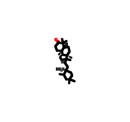 CC(=O)C[C@@H]1[C@@]2(C)CCC(=O)C(C)(C)[C@@H]2CC[C@@]1(C)C(C)(C)CC[C@@]1(C(=O)O)CCC(C)(C)CC1C